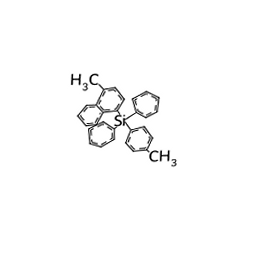 Cc1ccc([Si](c2ccccc2)(c2ccccc2)c2ccc(C)c3ccccc23)cc1